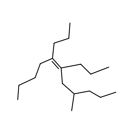 CCCCC(CCC)=C(CCC)CC(C)CCC